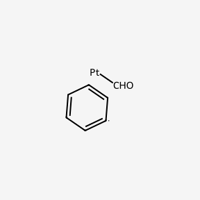 O=[CH][Pt].[c]1ccccc1